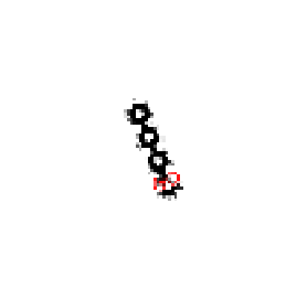 c1ccc(-c2ccc(-c3ccc(C4OCCCO4)cc3)cc2)cc1